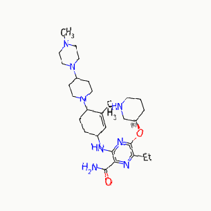 CCc1nc(C(N)=O)c(NC2C=C(C)C(N3CCC(N4CCN(C)CC4)CC3)CC2)nc1O[C@@H]1CCCNC1